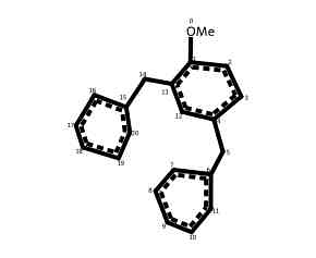 COc1ccc(Cc2ccccc2)cc1Cc1ccccc1